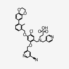 Cc1c(COc2cc(OCc3cncc(C#N)c3)c(CN(CCS(=O)(=O)O)Cc3ccncc3)cc2Cl)cccc1-c1ccc2c(c1)OCCO2